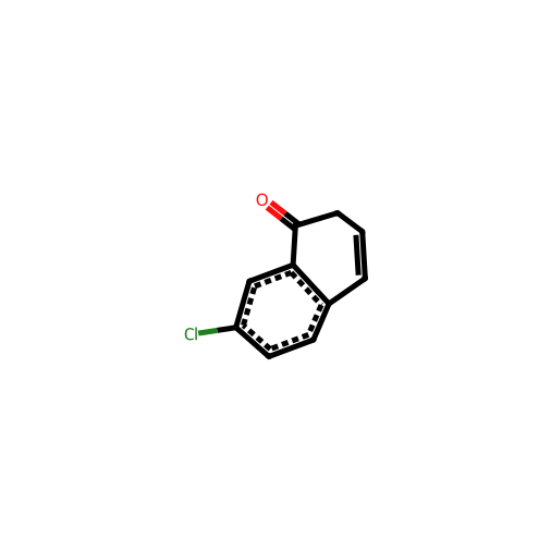 O=C1CC=Cc2ccc(Cl)cc21